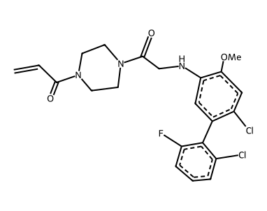 C=CC(=O)N1CCN(C(=O)CNc2cc(-c3c(F)cccc3Cl)c(Cl)cc2OC)CC1